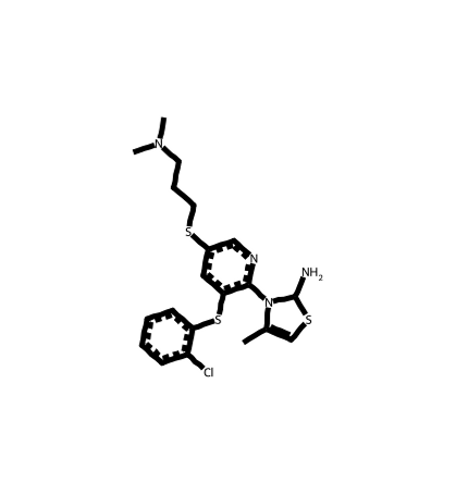 CC1=CSC(N)N1c1ncc(SCCCN(C)C)cc1Sc1ccccc1Cl